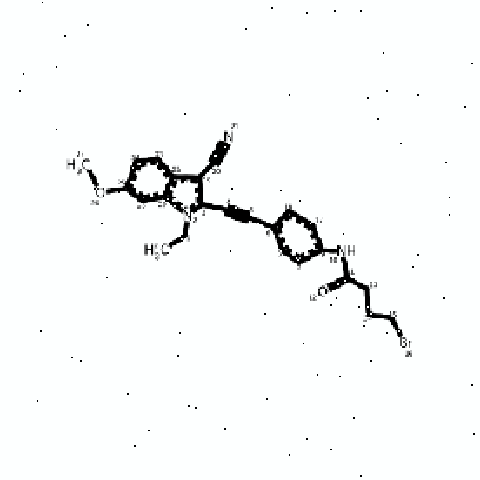 CCn1c(C#Cc2ccc(NC(=O)CCCBr)cc2)c(C#N)c2ccc(OC)cc21